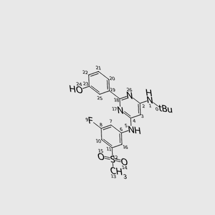 CC(C)(C)Nc1cc(Nc2cc(F)cc(S(C)(=O)=O)c2)nc(-c2cccc(O)c2)n1